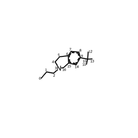 CCCN1CCc2ccc(C(C)(C)C)cc2C1